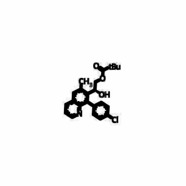 Cc1cc2cccnc2c(-c2ccc(Cl)cc2)c1[C@H](O)COC(=O)C(C)(C)C